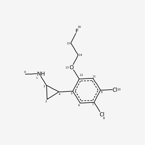 CNC1CC1c1cc(Cl)c(Cl)cc1OCCF